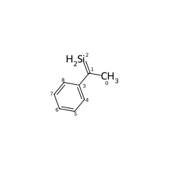 CC(=[SiH2])c1ccccc1